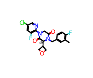 Cc1cc(CN2C(=O)CN(c3ncc(Cl)cc3F)C(=O)[C@@H]2C2COC2)ccc1F